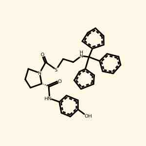 O=C(Nc1ccc(O)cc1)[C@@H]1CCCN1C(=O)SCCNC(c1ccccc1)(c1ccccc1)c1ccccc1